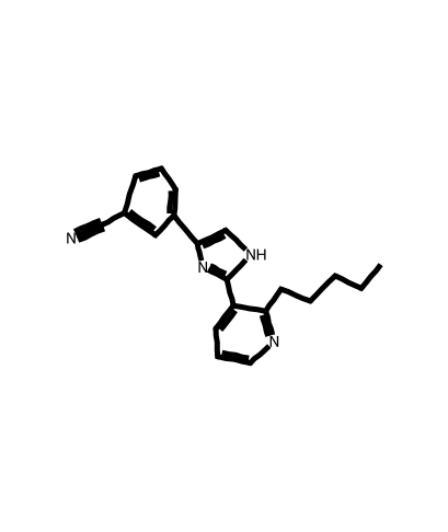 CCCCCc1ncccc1-c1nc(-c2cccc(C#N)c2)c[nH]1